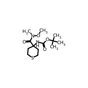 CON(C)C(=O)C1(NC(=O)OC(C)(C)C)CCSCC1